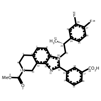 COC(=O)N1CCc2ccc3c(nc(-c4cccc(C(=O)O)c4)n3C[C@H](C)c3ccc(F)c(F)c3)c2C1